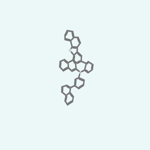 c1cc(-c2cccc3ccccc23)cc(N(c2ccc3ccccc3c2)c2ccccc2-c2ccc3oc4c5ccccc5ccc4c3c2)c1